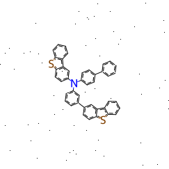 c1ccc(-c2ccc(N(c3cccc(-c4ccc5sc6ccccc6c5c4)c3)c3ccc4sc5ccccc5c4c3)cc2)cc1